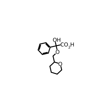 O=C(O)C(O)(OCC1CCCCO1)c1ccccc1